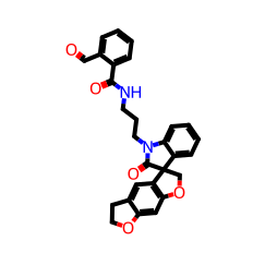 O=Cc1ccccc1C(=O)NCCCN1C(=O)C2(COc3cc4c(cc32)CCO4)c2ccccc21